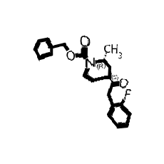 C[C@@H]1C[C@@H](C(=O)Cc2ccccc2F)CCN1C(=O)OCc1ccccc1